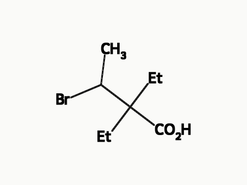 CCC(CC)(C(=O)O)C(C)Br